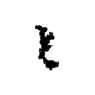 CC1(C)CCC(CN2CCN(c3ccc(C(=O)NS(=O)(=O)c4ccc(NCC5CCC(NCCCCNc6cccc7c6C(=O)N(C6CCC(=O)NC6=O)C7=O)CC5)c([N+](=O)[O-])c4)c(Oc4cnc5[nH]ccc5c4)c3)CC2)=C(c2ccc(Cl)cc2)C1